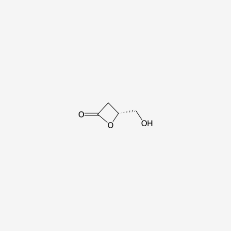 O=C1C[C@H](CO)O1